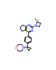 C[C@H]1CCN1c1nc2c(c(-c3ccc(C4(N5CCOCC5)CC4)cc3)n1)CCC2